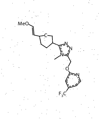 COC=CC1CCC(c2nnc(COc3cc(C(F)(F)F)ccn3)n2C)CC1